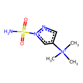 C[N+](C)(C)c1cnn(S(N)(=O)=O)c1